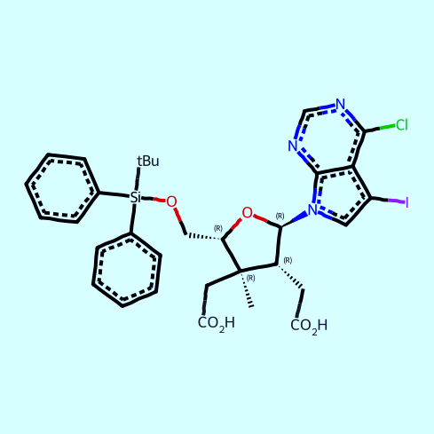 CC(C)(C)[Si](OC[C@@H]1O[C@@H](n2cc(I)c3c(Cl)ncnc32)[C@H](CC(=O)O)[C@@]1(C)CC(=O)O)(c1ccccc1)c1ccccc1